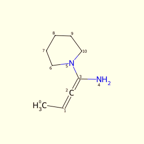 CC=C=C(N)N1CCCCC1